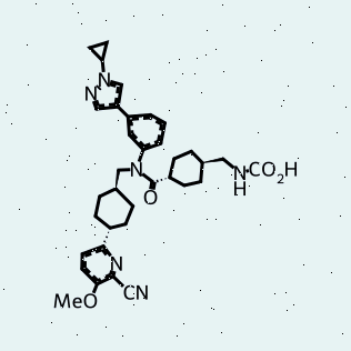 COc1ccc([C@H]2CC[C@H](CN(c3cccc(-c4cnn(C5CC5)c4)c3)C(=O)[C@H]3CC[C@H](CNC(=O)O)CC3)CC2)nc1C#N